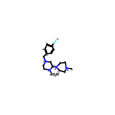 CCOC(=O)N1CCN(Cc2ccc(F)cc2)CC1N1CCN(C)CC1